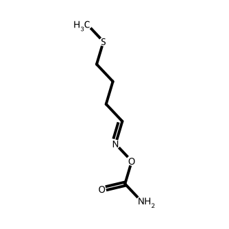 CSCCCC=NOC(N)=O